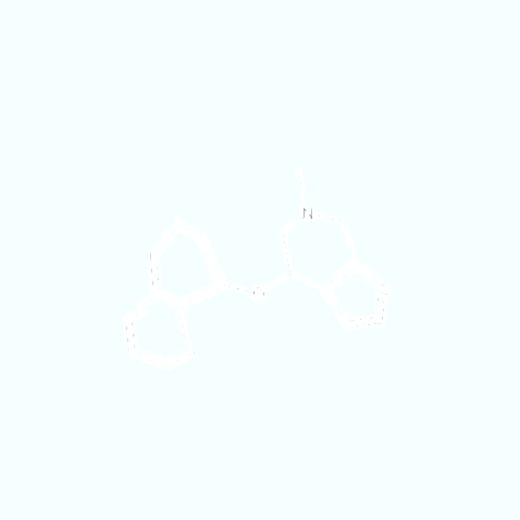 CN1Cc2sccc2C(Oc2cccc3ccccc23)C1